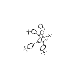 CC(C)(C)c1ccc(N2c3ccc(C(C)(C)C)cc3B3c4c2cc(-c2ccc(C(F)(F)F)cc2)cc4-n2c4cc(C(C)(C)C)ccc4c4c5c(ccc6ccccc65)cc3c42)cc1